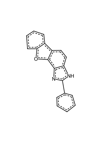 c1ccc(-c2nc3c(ccc4c5ccccc5oc43)[nH]2)cc1